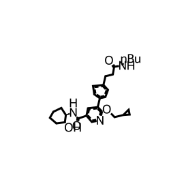 CCCCNC(=O)CCc1ccc(-c2cc(C(=O)N[C@@H]3CCCC[C@H]3O)cnc2OCC2CC2)cc1